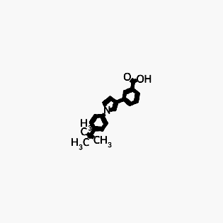 CC(C)(C)c1ccc(-n2ccc(-c3cccc(C(=O)O)c3)c2)cc1